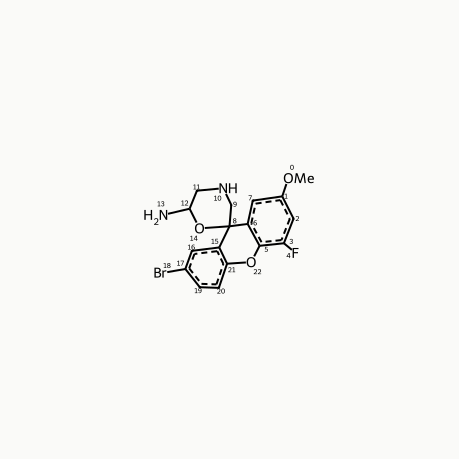 COc1cc(F)c2c(c1)C1(CNCC(N)O1)c1cc(Br)ccc1O2